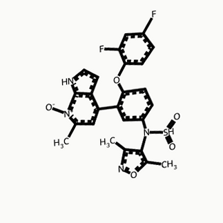 Cc1noc(C)c1N(c1ccc(Oc2ccc(F)cc2F)c(-c2cc(C)[n+]([O-])c3[nH]ccc23)c1)[SH](=O)=O